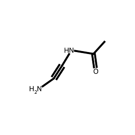 CC(=O)NC#CN